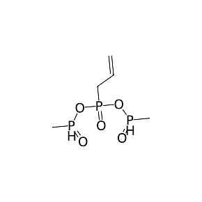 C=CCP(=O)(O[PH](C)=O)O[PH](C)=O